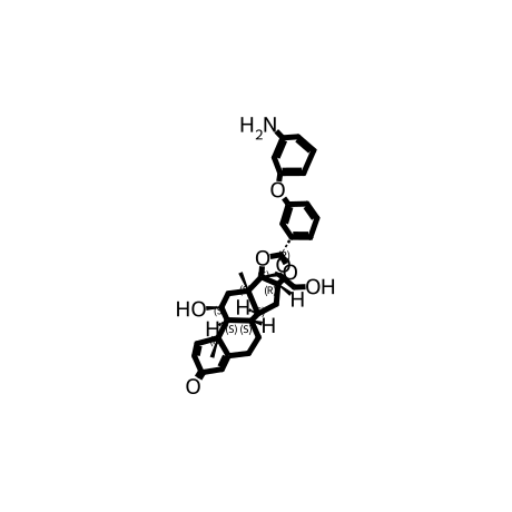 C[C@]12C=CC(=O)C=C1CC[C@@H]1[C@@H]2[C@@H](O)C[C@@]2(C)[C@H]1C[C@H]1O[C@@H](c3cccc(Oc4cccc(N)c4)c3)O[C@]12C(=O)CO